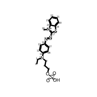 CCN(CCCOS(=O)(=O)O)c1ccc(N=Nc2sc3ccccc3[n+]2C)cc1